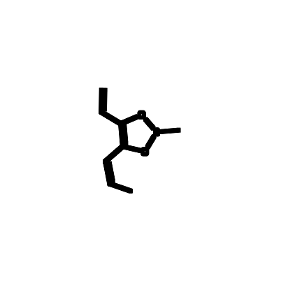 C=CC1=C(/C=C\C)OB(C)O1